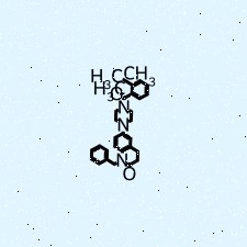 CC(C)(C)c1ccccc1C(=O)N1CCN(c2ccc3c(c2)CCC(=O)N3Cc2ccccc2)CC1